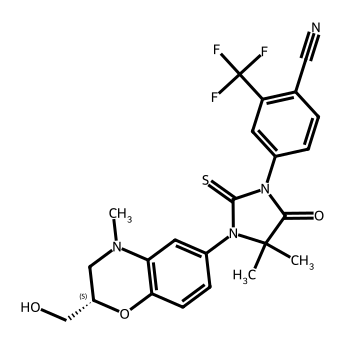 CN1C[C@@H](CO)Oc2ccc(N3C(=S)N(c4ccc(C#N)c(C(F)(F)F)c4)C(=O)C3(C)C)cc21